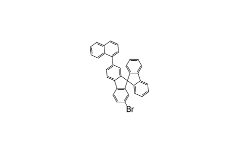 Brc1ccc2c(c1)C1(c3ccccc3-c3ccccc31)c1cc(-c3cccc4ccccc34)ccc1-2